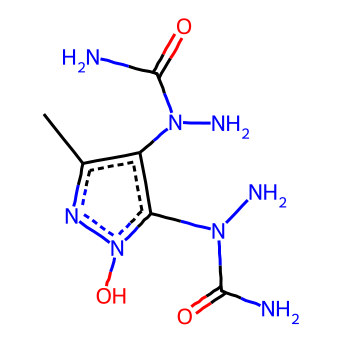 Cc1nn(O)c(N(N)C(N)=O)c1N(N)C(N)=O